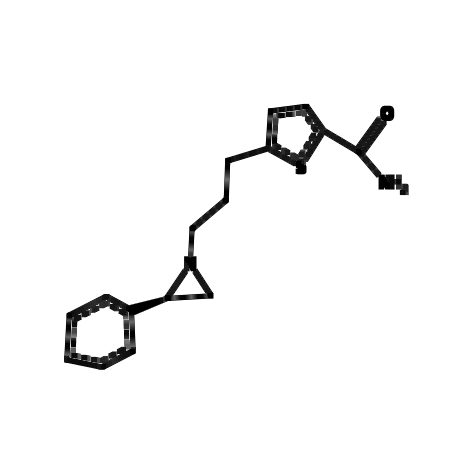 NC(=O)c1ccc(CCCN2C[C@H]2c2ccccc2)s1